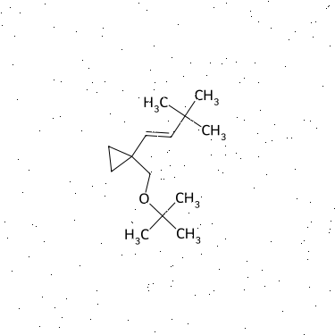 CC(C)(C)/C=C/C1(COC(C)(C)C)CC1